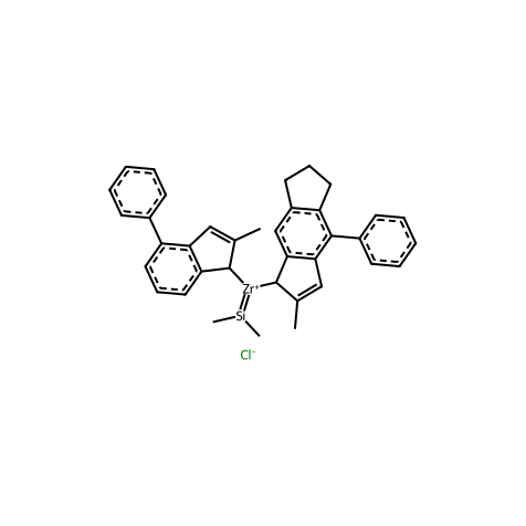 CC1=Cc2c(-c3ccccc3)cccc2[CH]1[Zr+]([CH]1C(C)=Cc2c1cc1c(c2-c2ccccc2)CCC1)=[Si](C)C.[Cl-]